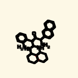 Nc1ccccc1[C]([C](NC1CCCCC1)NC1CCCCC1)C(=O)C(N)c1ccc2ccccc2c1